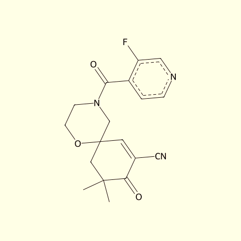 CC1(C)CC2(C=C(C#N)C1=O)CN(C(=O)c1ccncc1F)CCO2